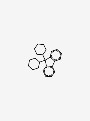 [c]1cccc2c1-c1[c]cccc1C2(C1CCCCC1)C1CCCCC1